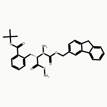 CC(C)(C)OC(=O)c1ccccc1C[C@@H](C(=O)ON)N(N)C(=O)OCc1ccc2c(c1)-c1ccccc1C2